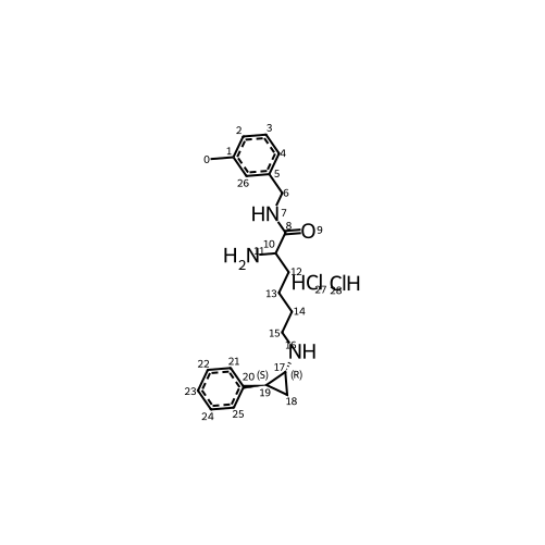 Cc1cccc(CNC(=O)C(N)CCCCN[C@@H]2C[C@H]2c2ccccc2)c1.Cl.Cl